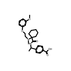 COc1cccc(OCCN(C)C2(C(=O)NC(C)c3ccc(C(=O)O)cc3)CCCCC2)c1